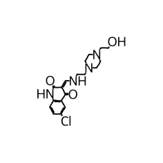 O=C1Nc2ccc(Cl)cc2C(=O)C1=CNCCN1CCN(CCO)CC1